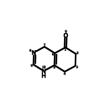 O=C1CCCC2=C1CN=CN2